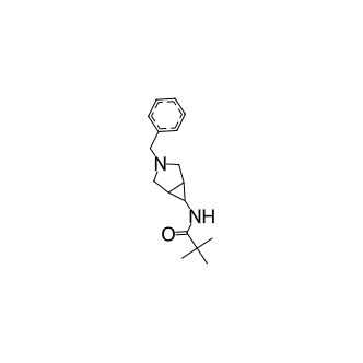 CC(C)(C)C(=O)NC1C2CN(Cc3ccccc3)CC21